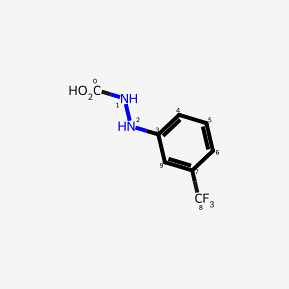 O=C(O)NNc1cccc(C(F)(F)F)c1